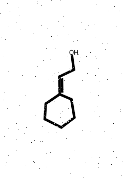 OCC=C1CCCCC1